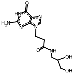 Nc1nc2c(ncn2CCC(=O)NCC(O)CO)c(=O)[nH]1